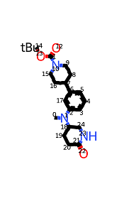 CN(c1cccc(C2CCN(C(=O)OC(C)(C)C)CC2)c1)C1CCC(=O)NC1